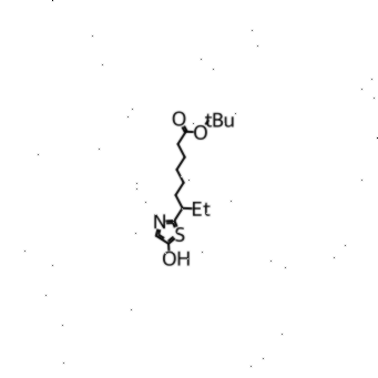 CCC(CCCCCC(=O)OC(C)(C)C)c1ncc(O)s1